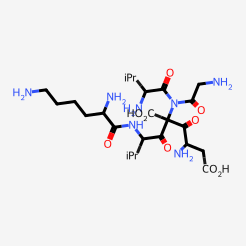 CC(C)C(N)C(=O)N(C(=O)CN)C(C(=O)O)(C(=O)C(N)CC(=O)O)C(=O)C(NC(=O)C(N)CCCCN)C(C)C